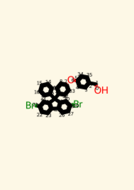 OCc1ccc(Oc2ccc(C3(c4ccccc4)c4cc(Br)ccc4-c4ccc(Br)cc43)cc2)cc1